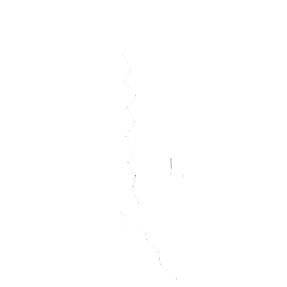 CCCCCCCCCCCCCOS(=O)(=O)CCCCCCCCCCCCF.CNC